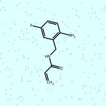 C=CC(=O)NCc1cc(F)ccc1N